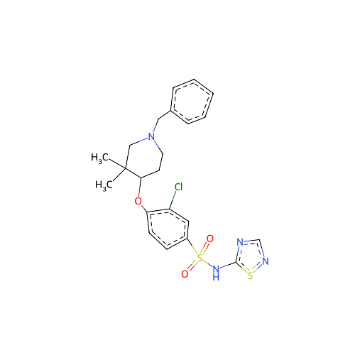 CC1(C)CN(Cc2ccccc2)CCC1Oc1ccc(S(=O)(=O)Nc2ncns2)cc1Cl